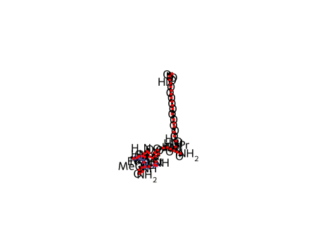 CCN/C(=C\C(C)=N)COC/N=c1\[nH]c2cc(C(N)=O)cc(OC)c2n1C/C=C/Cn1/c(=N/C(=O)/C(=C/C(C)=N)NCC)[nH]c2cc(C(N)=O)cc(OCCCN3CCN(C(=O)OCc4ccc(NC(=O)[C@H](CCCNC(N)=O)NC(=O)[C@@H](NC(=O)CCOCCOCCOCCOCCOCCOCCOCCOCCOCCOCCNC(=O)CN5C(=O)C=CC5=O)C(C)C)cc4)CC3)c21